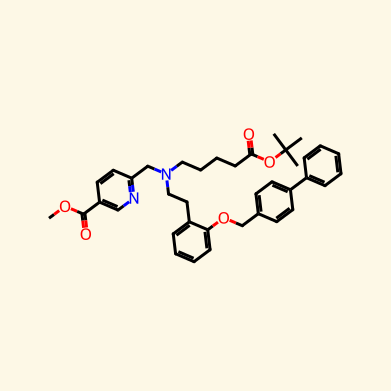 COC(=O)c1ccc(CN(CCCCC(=O)OC(C)(C)C)CCc2ccccc2OCc2ccc(-c3ccccc3)cc2)nc1